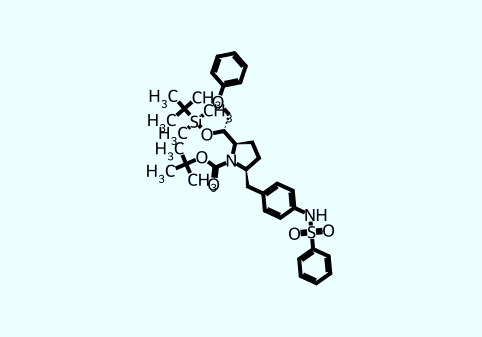 CC(C)(C)OC(=O)N1[C@H](Cc2ccc(NS(=O)(=O)c3ccccc3)cc2)CC[C@@H]1[C@@H](COc1ccccc1)O[Si](C)(C)C(C)(C)C